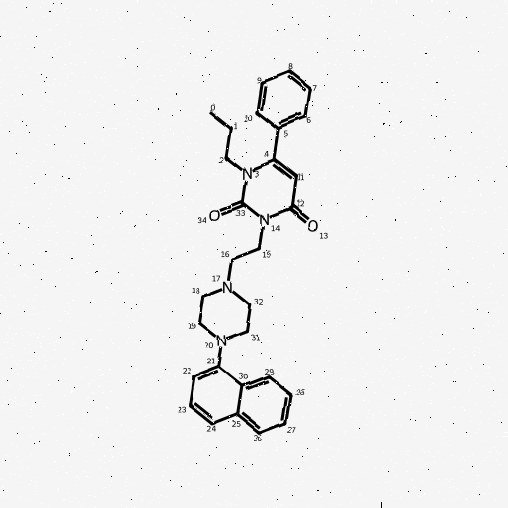 CCCn1c(-c2ccccc2)cc(=O)n(CCN2CCN(c3cccc4ccccc34)CC2)c1=O